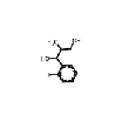 CC(CO)C(O)c1ccccc1I